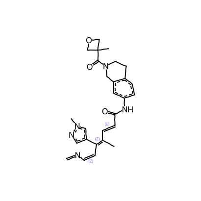 C=N\C=C/C(=C(C)/C=C/C(=O)Nc1ccc2c(c1)CN(C(=O)C1(C)COC1)CC2)c1cnn(C)c1